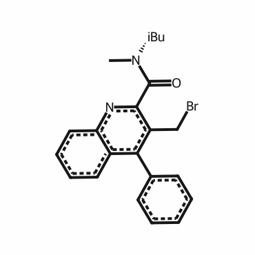 CC[C@@H](C)N(C)C(=O)c1nc2ccccc2c(-c2ccccc2)c1CBr